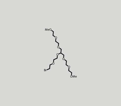 COCCOCCOCC(COCCOCCOC)OCCOCCBr